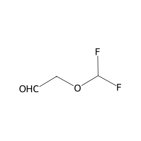 O=CCOC(F)F